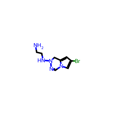 NCCNN1Cc2cc(Br)cn2C=N1